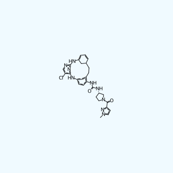 Cn1ccc(C(=O)N2CC[C@H](NC(=O)Nc3ccc4cc3CCC3C=CC=C(C3)Nc3ncc(Cl)c(n3)N4)C2)n1